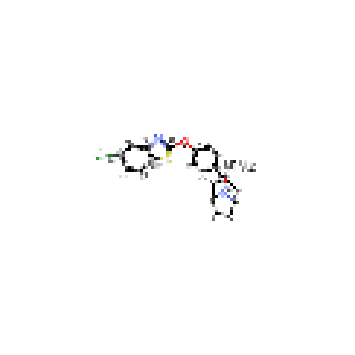 CC(=O)NC1CC2CCC(C1)N2Cc1ccc(Oc2nc3cc(Cl)ccc3s2)cc1